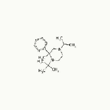 CC(C)N1CCN(C(C)(C)C)C(C)(c2ccccn2)C1